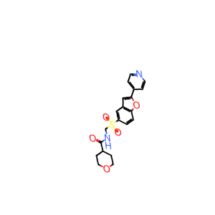 O=C(NCS(=O)(=O)c1ccc2oc(-c3ccncc3)cc2c1)C1CCOCC1